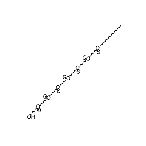 CCCCCCCCCCCCCCCCOC(=O)CCCCCOC(=O)CCCCCOC(=O)CCCCCOC(=O)CCCCCOC(=O)CCCCCOC(=O)CCCCCOC(=O)CCCCCO